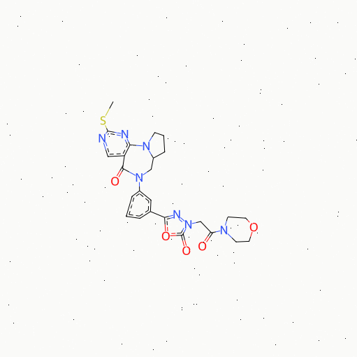 CSc1ncc2c(n1)N1CCCC1CN(c1cccc(-c3nn(CC(=O)N4CCOCC4)c(=O)o3)c1)C2=O